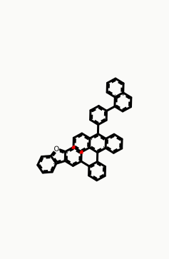 c1cc(-c2cccc3ccccc23)cc(-c2c3ccccc3c(-c3ccccc3-c3ccc4oc5ccccc5c4c3)c3ccccc23)c1